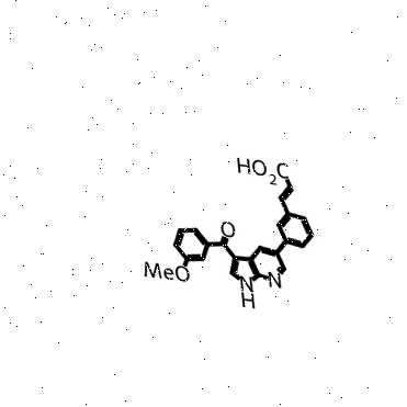 COc1cccc(C(=O)c2c[nH]c3ncc(-c4cccc(C=CC(=O)O)c4)cc23)c1